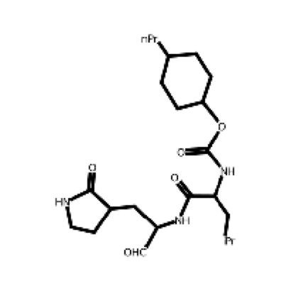 CCCC1CCC(OC(=O)NC(CC(C)C)C(=O)NC(C=O)CC2CCNC2=O)CC1